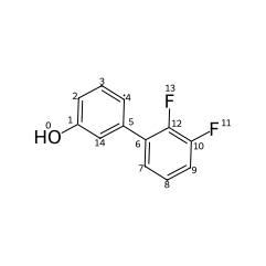 Oc1cc[c]c(-c2cccc(F)c2F)c1